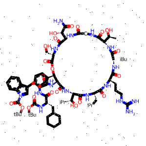 CC[C@H](C)[C@@H]1NC(=O)[C@@H](CCCNC(=N)N)NC(=O)[C@H](CC(C)C)NC(=O)[C@H]([C@H](O)C(C)C)NC(=O)[C@@H](NC(=O)[C@H](Cc2cn(C(=O)OC(C)(C)C)c3ccccc23)NC(=O)[C@H](CC2CCCCC2)NC(=O)OC(C)(C)C)[C@@H](c2ccccc2)OC(=O)[C@H](CO)NC(=O)[C@H]([C@H](O)C(N)=O)NC(=O)CNC(=O)[C@H]([C@H](C)O)NC1=O